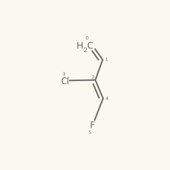 C=C/C(Cl)=C/F